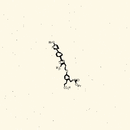 COc1ccc(-c2ccc(-c3nc(CCOc4ccc(CCC(=O)O)c(CNC(=O)OC(C)C)c4)c(C)o3)cc2)cn1